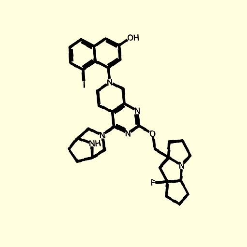 Oc1cc(N2CCc3c(nc(OCC45CCCN4C4CCCC4(F)C5)nc3N3CC4CCC(C3)N4)C2)c2c(I)cccc2c1